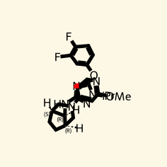 COc1cc(N2C[C@H]3CC[C@@H](C2)[C@H]3Nc2nc(Oc3ccc(F)c(F)c3)n(C(C)C)n2)ccn1